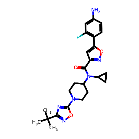 CC(C)(C)c1noc(N2CCC(N(C(=O)c3cc(-c4ccc(N)cc4F)on3)C3CC3)CC2)n1